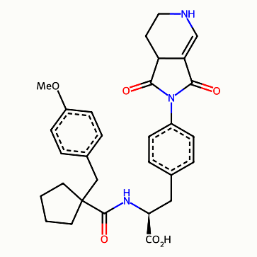 COc1ccc(CC2(C(=O)N[C@@H](Cc3ccc(N4C(=O)C5=CNCCC5C4=O)cc3)C(=O)O)CCCC2)cc1